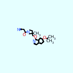 CC(C)Oc1ccc2ccnc(OCC3(C)CCN(C(=O)CC#N)C3)c2c1